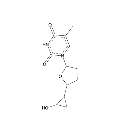 Cc1cn(C2CCC(C3CC3O)O2)c(=O)[nH]c1=O